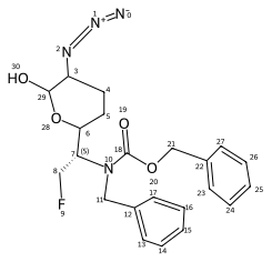 [N-]=[N+]=NC1CCC([C@@H](CF)N(Cc2ccccc2)C(=O)OCc2ccccc2)OC1O